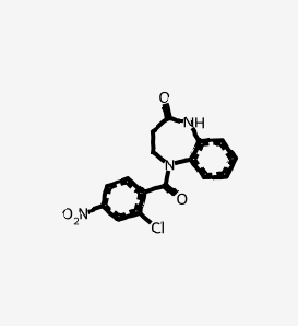 O=C1CCN(C(=O)c2ccc([N+](=O)[O-])cc2Cl)c2ccccc2N1